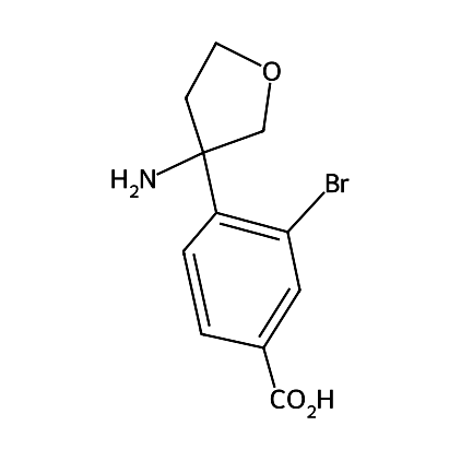 NC1(c2ccc(C(=O)O)cc2Br)CCOC1